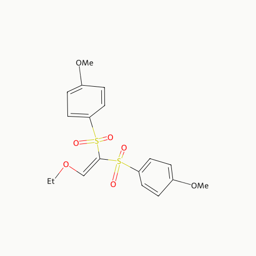 CCOC=C(S(=O)(=O)c1ccc(OC)cc1)S(=O)(=O)c1ccc(OC)cc1